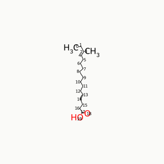 CCC(C)CCCCCCCCCC=CCCC(=O)O